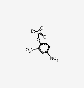 CCS(=O)(=O)Oc1ccc([N+](=O)[O-])cc1[N+](=O)[O-]